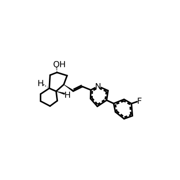 O[C@H]1C[C@@H]2CCCC[C@H]2[C@H](/C=C/c2ccc(-c3cccc(F)c3)cn2)C1